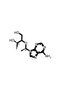 C[C@@H](OC(CO)[C@H](O)F)n1cnc2c(N)ncnc21